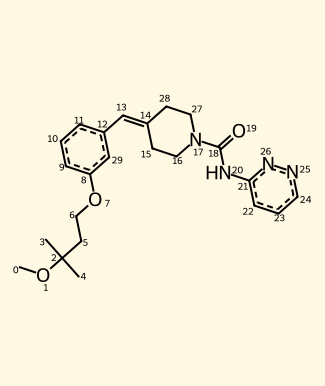 COC(C)(C)CCOc1cccc(C=C2CCN(C(=O)Nc3cccnn3)CC2)c1